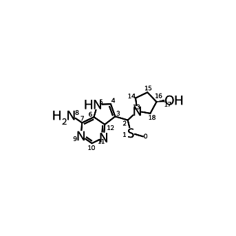 CSC(c1c[nH]c2c(N)ncnc12)N1CC[C@@H](O)C1